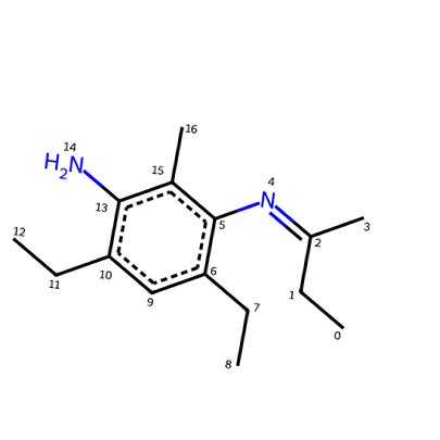 CCC(C)=Nc1c(CC)cc(CC)c(N)c1C